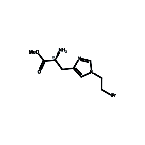 COC(=O)[C@@H](N)Cc1cn(CCC(C)C)cn1